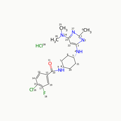 Cc1nc(N[C@H]2CC[C@@H](NC(=O)c3ccc(Cl)c(F)c3)CC2)cc(N(C)C)n1.Cl